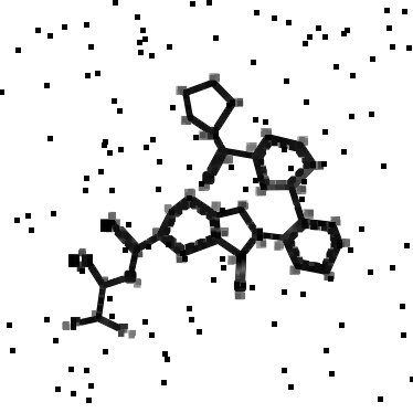 N=C(OC(N)C(F)F)c1ccc2c(c1)C(=O)N(c1ccccc1-c1cccc(C(=O)N3CCCC3)c1)C2